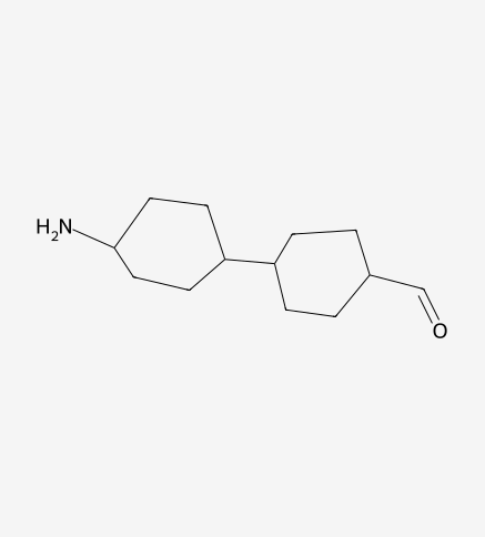 NC1CCC(C2CCC(C=O)CC2)CC1